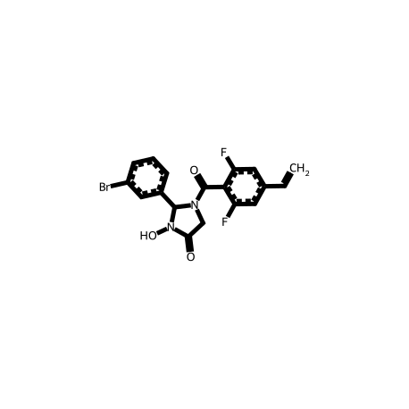 C=Cc1cc(F)c(C(=O)N2CC(=O)N(O)C2c2cccc(Br)c2)c(F)c1